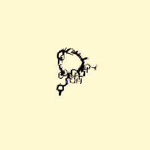 C=C1C[C@H](C)C[C@@H]2CC=C[C@@H](C/C=C\C(=O)OC([C@@H](O)/C=C/C3CCCC(C)C3)C[C@@H]3O[C@H]3[C@@H](O)C1)O2